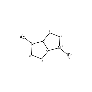 CC(=O)N1CCC2C1CCN2C(C)C